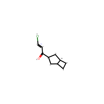 O=C(/C=C/Cl)C1CC2CCC2C1